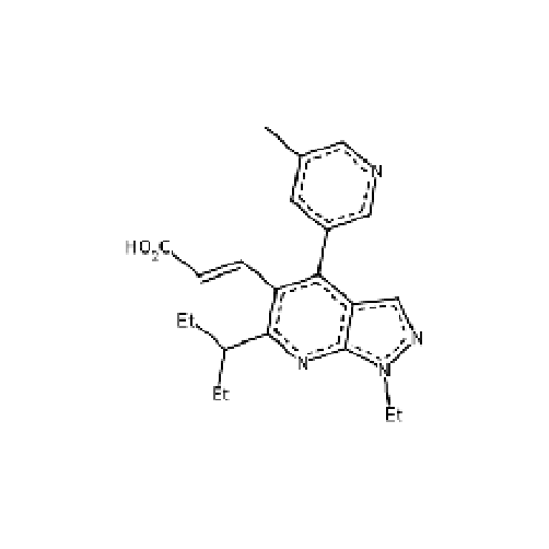 CCC(CC)c1nc2c(cnn2CC)c(-c2cncc(C)c2)c1C=CC(=O)O